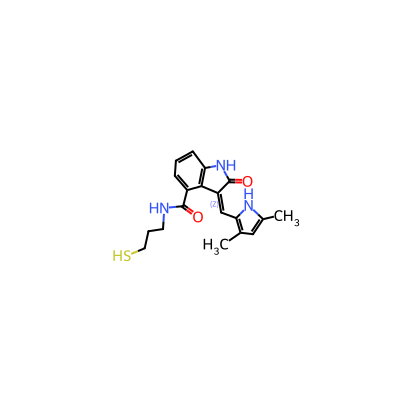 Cc1cc(C)c(/C=C2\C(=O)Nc3cccc(C(=O)NCCCS)c32)[nH]1